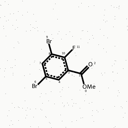 COC(=O)c1cc(Br)cc(Br)c1F